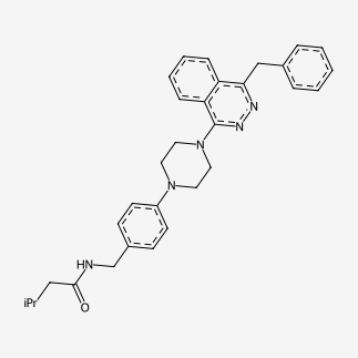 CC(C)CC(=O)NCc1ccc(N2CCN(c3nnc(Cc4ccccc4)c4ccccc34)CC2)cc1